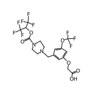 O=C(O)COc1cc(CN2CCN(C(=O)OC(C(F)(F)F)C(F)(F)F)CC2)cc(OC(F)(F)F)c1